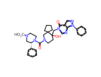 O=C(O)N1CCN(C(=O)N2CCC(O)(Cn3cnc4c(cnn4-c4ccccc4)c3=O)C3(CCCC3)C2)[C@H](c2ccccc2)C1